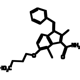 CC1=C(C(N)=O)c2c(ccc(OCCCC(=O)O)c2C)/C1=C\c1ccccc1